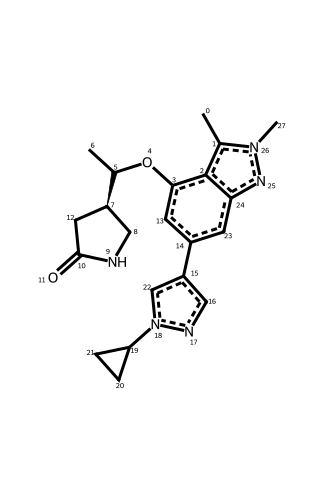 Cc1c2c(OC(C)[C@H]3CNC(=O)C3)cc(-c3cnn(C4CC4)c3)cc2nn1C